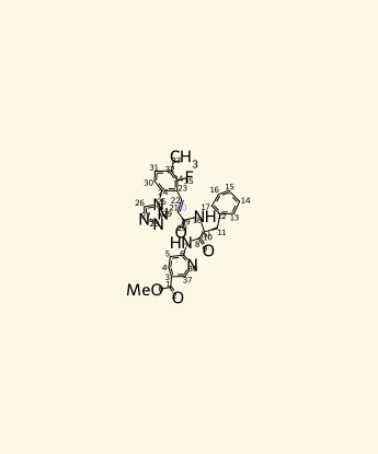 COC(=O)c1ccc(NC(=O)[C@H](Cc2ccccc2)NC(=O)/C=C/c2c(-n3cnnn3)ccc(C)c2F)nc1